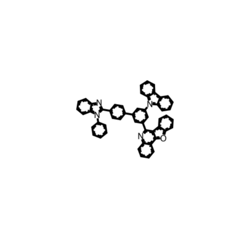 c1ccc(-n2c(-c3ccc(-c4cc(-c5nc6ccccc6c6oc7ccccc7c56)cc(-n5c6ccccc6c6ccccc65)c4)cc3)nc3ccccc32)cc1